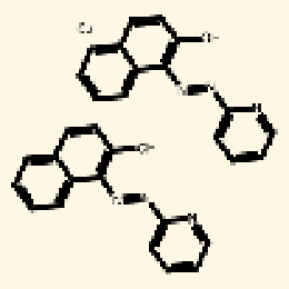 Oc1ccc2ccccc2c1N=Nc1ccccn1.Oc1ccc2ccccc2c1N=Nc1ccccn1.[Cu]